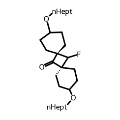 CCCCCCCOC1CC[C@]2(CC1)C(=O)[C@@]1(CCC(OCCCCCCC)CC1)C2F